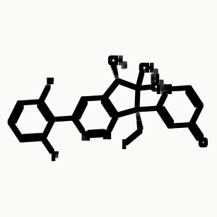 C[C@H]1c2cc(-c3c(F)cccc3F)nnc2[C@](CI)(c2cc(=O)cc[nH]2)C1(C)C